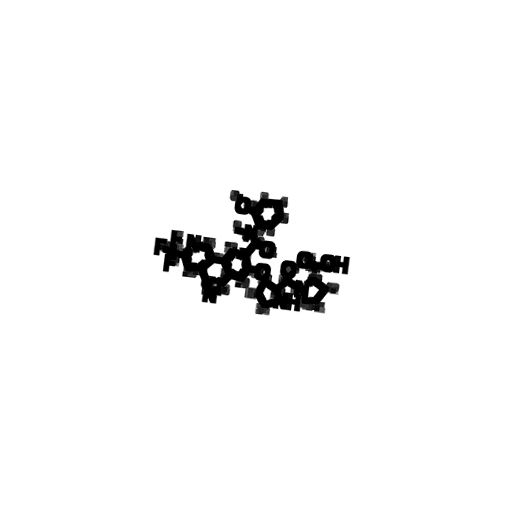 COc1ccccc1N(C)C(=O)c1cc(-c2cnc(C(F)(F)F)cc2C#N)c(Cl)cc1OC1CCN[C@@H]1C(=O)N1CCC[C@H]1C(=O)O